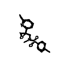 Cc1ccc(S(=O)(=O)N(C)CC2(c3cccc(C)n3)CO2)cc1